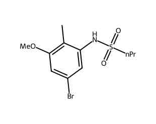 CCCS(=O)(=O)Nc1cc(Br)cc(OC)c1C